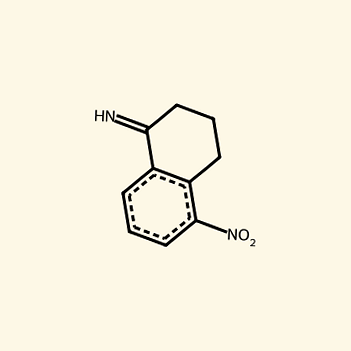 N=C1CCCc2c1cccc2[N+](=O)[O-]